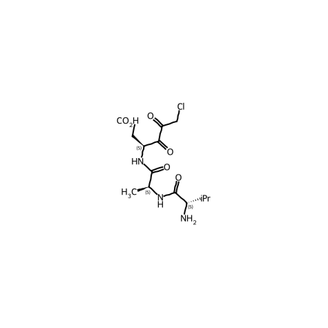 CC(C)[C@H](N)C(=O)N[C@@H](C)C(=O)N[C@@H](CC(=O)O)C(=O)C(=O)CCl